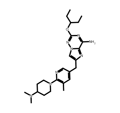 CCC(CC)Oc1nc(N)c2nc(Cc3cnc(N4CCC(N(C)C)CC4)c(C)c3)cn2n1